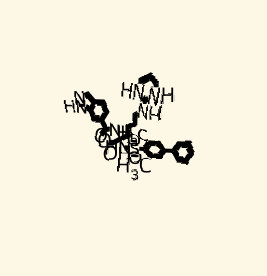 Cc1cc(-c2ccccc2)cc(C)c1S(=O)(=O)NC(CCCCNC1NC=CCN1)(NC(=O)c1ccc2cn[nH]c2c1)C(=O)O